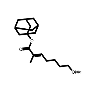 COCCCCC=C(C)C(=O)OC12CC3CC(CC(C3)C1)C2